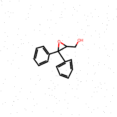 OCC1OC1(c1ccccc1)c1ccccc1